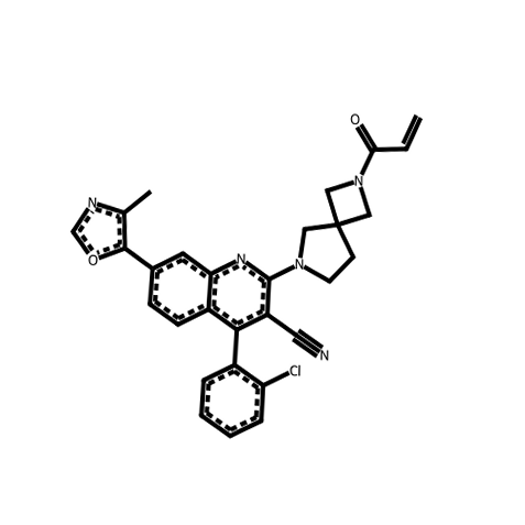 C=CC(=O)N1CC2(CCN(c3nc4cc(-c5ocnc5C)ccc4c(-c4ccccc4Cl)c3C#N)C2)C1